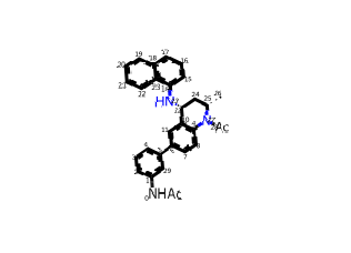 CC(=O)Nc1cccc(-c2ccc3c(c2)[C@H](Nc2cccc4ccccc24)C[C@H](C)N3C(C)=O)c1